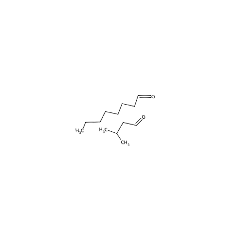 CC(C)CC=O.CCCCCCCC=O